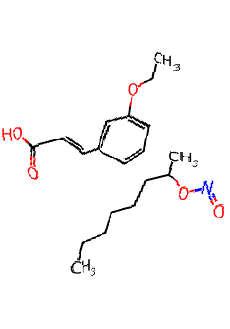 CCCCCCC(C)ON=O.CCOc1cccc(C=CC(=O)O)c1